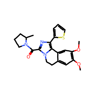 COc1cc2c(cc1OC)-c1c(-c3cccs3)nc(C(=O)N3CCCC3C)n1CC2